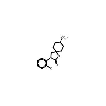 O=C1O[C@]2(CC[C@H](C(=O)O)CC2)CN1c1ccccc1Cl